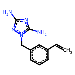 C=Cc1cccc(Cn2nc(N)nc2N)c1